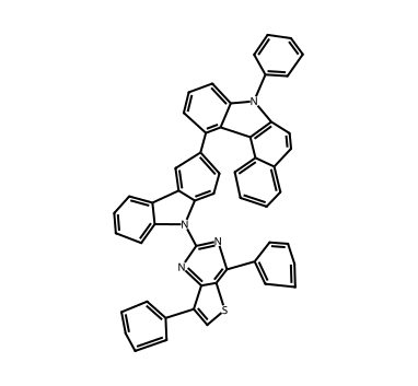 c1ccc(-c2csc3c(-c4ccccc4)nc(-n4c5ccccc5c5cc(-c6cccc7c6c6c8ccccc8ccc6n7-c6ccccc6)ccc54)nc23)cc1